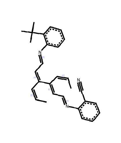 C\C=C/C(=C/C=N/c1ccccc1C(C)(C)C)C(/C=C\C)=C/C=N/c1ccccc1C#N